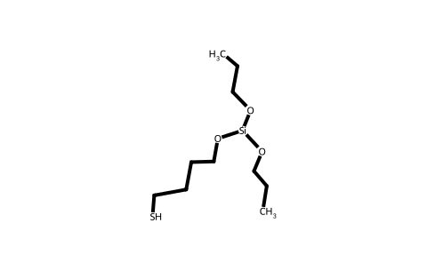 CCCO[Si](OCCC)OCCCCS